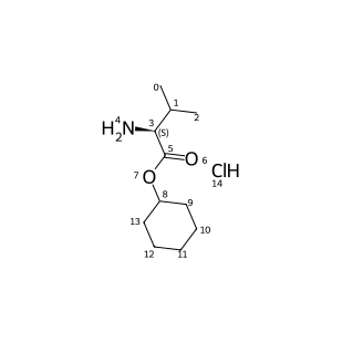 CC(C)[C@H](N)C(=O)OC1CCCCC1.Cl